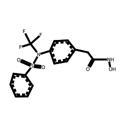 O=C(Cc1ccc(N(C(F)(F)F)S(=O)(=O)c2ccccc2)cc1)NO